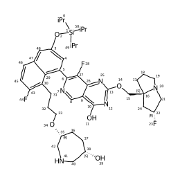 CC(C)[Si](Oc1cc(-c2ncc3c(O)nc(OC[C@@]45CCCN4C[C@H](F)C5)nc3c2F)c2c(CCCO[C@@H]3CC[C@H](O)CNC3)c(F)ccc2c1)(C(C)C)C(C)C